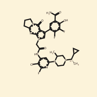 CC1CN([C@@H](C)C2CC2)CCN1c1cc(NC(=O)Cn2cc(-c3cc(C(N)=O)c(O)c(F)c3F)c3c(=O)n4c(nc32)CCC4)c(Cl)c(F)n1